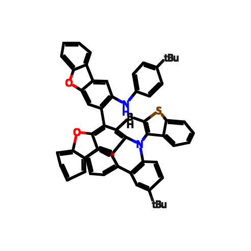 CC(C)(C)c1ccc(Nc2cc3c(cc2-c2c4c(cc5c2oc2ccccc25)N(c2ccc(C(C)(C)C)cc2-c2ccccc2)c2c(sc5ccccc25)B4)oc2ccccc23)cc1